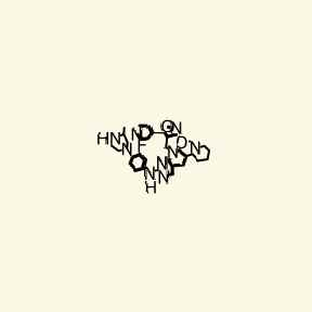 CC1CN(c2ccc(Nc3ncc4cc(C5CCCCN5C)c(=O)n(Cc5cnoc5-c5ccncc5)c4n3)cc2F)CCN1